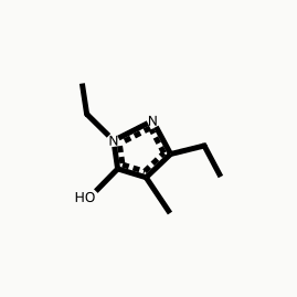 CCc1nn(CC)c(O)c1C